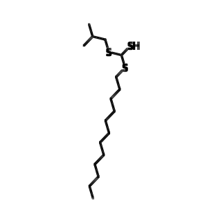 CCCCCCCCCCCCSC(S)SCC(C)C